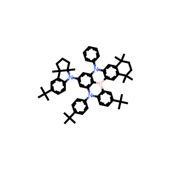 CC(C)(C)c1ccc(N2c3ccc(C(C)(C)C)cc3B3c4cc5c(cc4N(c4ccccc4)c4cc(N6c7ccc(C(C)(C)C)cc7C7(C)CCCC67C)cc2c43)C(C)(C)CCC5(C)C)cc1